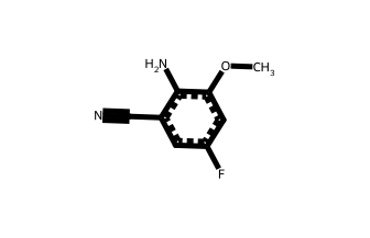 COc1cc(F)cc(C#N)c1N